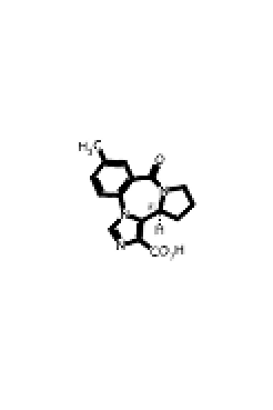 Cc1ccc2c(c1)C(=O)N1CCC[C@H]1c1c(C(=O)O)ncn1-2